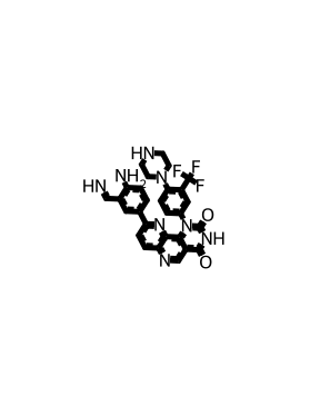 N=Cc1cc(-c2ccc3ncc4c(=O)[nH]c(=O)n(-c5ccc(N6CCNCC6)c(C(F)(F)F)c5)c4c3n2)ccc1N